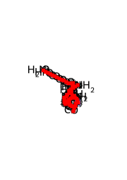 COc1cc2cc(c1Cl)N(C)C(=O)C[C@H](OC(=O)[C@H](C)N(C)C(=O)CCCN(C)C(=O)OCc1ccc(NC(=O)[C@H](CCCNN)NC(=O)[C@@H](NC(=O)CCOCCOCCOCCOCCOCCOCCNC(=O)CN)C(C)C)cc1)[C@]1(C)OC1[C@H](C)[C@@H](OC(N)=O)CC(O)[C@H](OC)/C=C/C=C(\C)C2